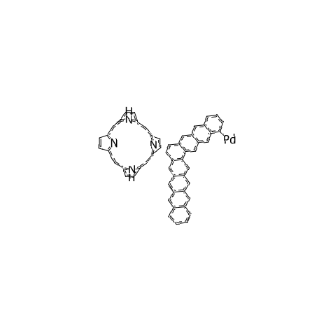 C1=Cc2cc3ccc(cc4nc(cc5ccc(cc1n2)[nH]5)C=C4)[nH]3.[Pd][c]1cccc2cc3cc4ccc5cc6cc7cc8ccccc8cc7cc6cc5c4cc3cc12